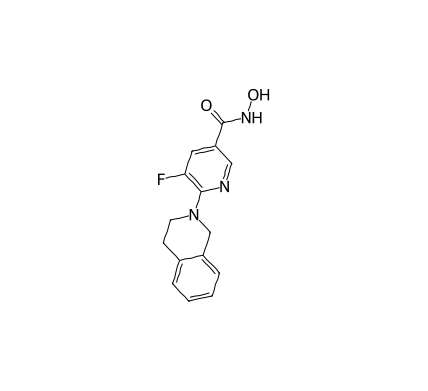 O=C(NO)c1cnc(N2CCc3ccccc3C2)c(F)c1